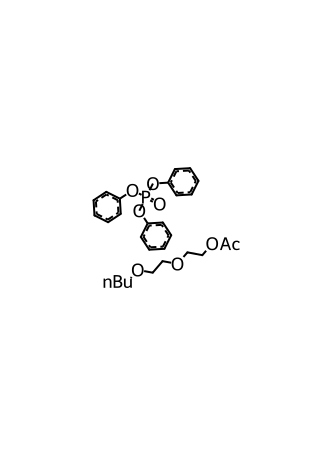 CCCCOCCOCCOC(C)=O.O=P(Oc1ccccc1)(Oc1ccccc1)Oc1ccccc1